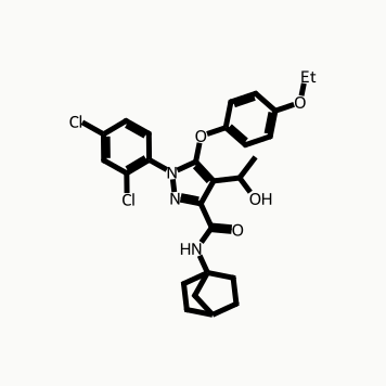 CCOc1ccc(Oc2c(C(C)O)c(C(=O)NC34CCC(CC3)C4)nn2-c2ccc(Cl)cc2Cl)cc1